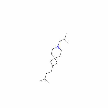 CC(C)CCC1CC2(CCN(CC(C)C)CC2)C1